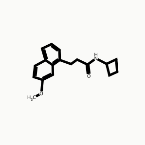 COc1ccc2cccc(CCC(=O)NC3CCC3)c2c1